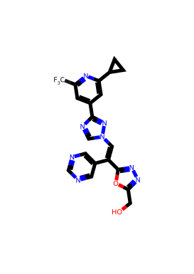 OCc1nnc(/C(=C/n2cnc(-c3cc(C4CC4)nc(C(F)(F)F)c3)n2)c2cncnc2)o1